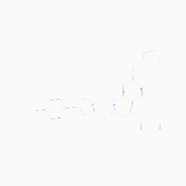 Cc1cc(-n2cnc(Nc3nc(N4CCCCC4)c4ccc(CN5CCCC5)cc4n3)c2)cc(C)c1C